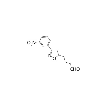 O=CCCCC1CC(c2cccc([N+](=O)[O-])c2)=NO1